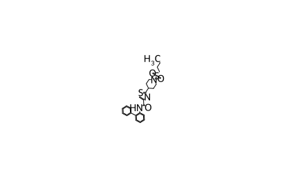 CCCCS(=O)(=O)N1CCC(c2nc(C(=O)Nc3ccccc3-c3ccccc3)cs2)CC1